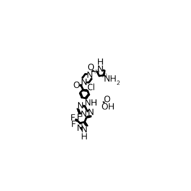 N[C@@H]1CN[C@H](C(=O)N2CCN(C(=O)c3ccc(Nc4nccn5c(-c6c[nH]nc6C(F)(F)F)cnc45)cc3Cl)CC2)C1.O=CO